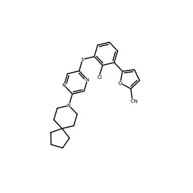 N#Cc1ccc(-c2cccc(Sc3cnc(N4CCC5(CCCC5)CC4)cn3)c2Cl)o1